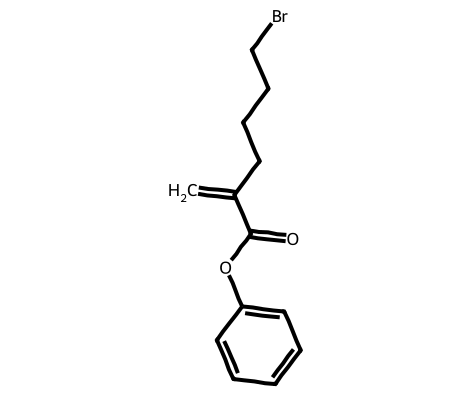 C=C(CCCCBr)C(=O)Oc1ccccc1